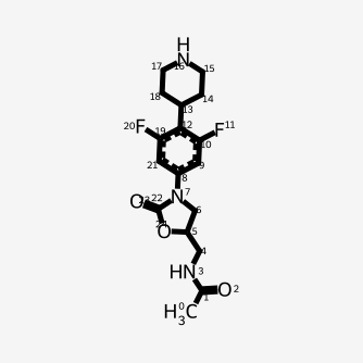 CC(=O)NCC1CN(c2cc(F)c(C3CCNCC3)c(F)c2)C(=O)O1